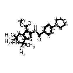 CC(C)OC(=O)c1c(NC(=O)c2ccc(N3CCOCC3)cc2)sc2c1CC(C)(C)NC2(C)C